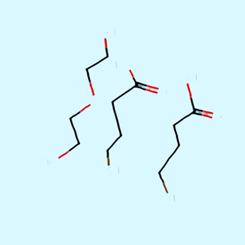 O=C(O)CCCS.O=C(O)CCCS.OCCOCCO